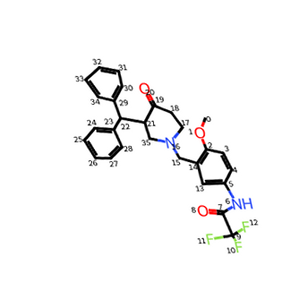 COc1ccc(NC(=O)C(F)(F)F)cc1CN1CCC(=O)C(C(c2ccccc2)c2ccccc2)C1